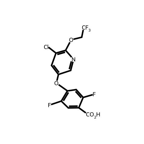 O=C(O)c1cc(F)c(Oc2cnc(OCC(F)(F)F)c(Cl)c2)cc1F